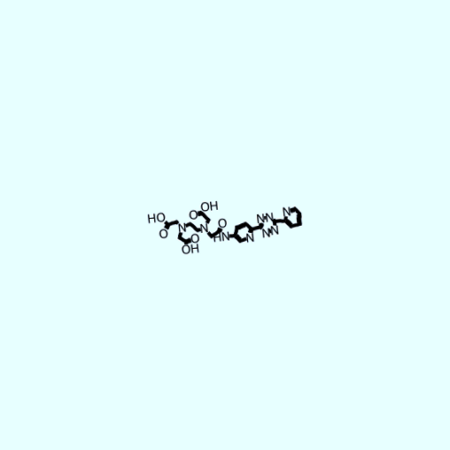 O=C(O)CN(CCN(CC(=O)O)CC(=O)Nc1ccc(-c2nnc(-c3ccccn3)nn2)nc1)CC(=O)O